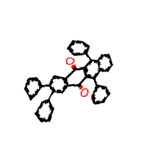 O=C1c2cc(-c3ccccc3)c(-c3ccccc3)cc2C(=O)c2c1c(-c1ccccc1)c1ccccc1c2-c1ccccc1